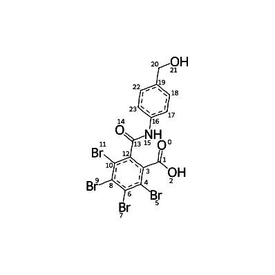 O=C(O)c1c(Br)c(Br)c(Br)c(Br)c1C(=O)Nc1ccc(CO)cc1